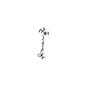 CCC(=O)NCCCCCCCCOCC(=O)C(C)C